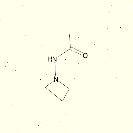 CC(=O)NN1CCC1